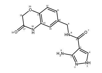 Nc1n[nH]cc1C(=O)NCc1ccc2c(c1)NC(=O)CO2